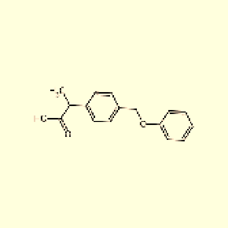 CC(C(=O)O)c1ccc(COc2ccccc2)cc1